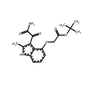 Cc1[nH]c2cccc(OCC(=O)OC(C)(C)C)c2c1C(=O)C(N)=O